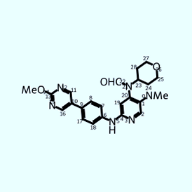 CNc1cnc(Nc2ccc(-c3cnc(OC)nc3)cc2)cc1N(C=O)C1CCOCC1